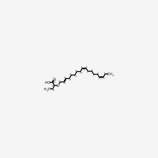 CC/C=C\CCCC/C=C\CCCCCC=CCOC(CC)C(=O)O